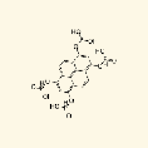 O=[PH](O)Oc1cc(OP(O)O)c2ccc3c(O[PH](=O)O)cc(O[PH](=O)O)c4ccc1c2c34